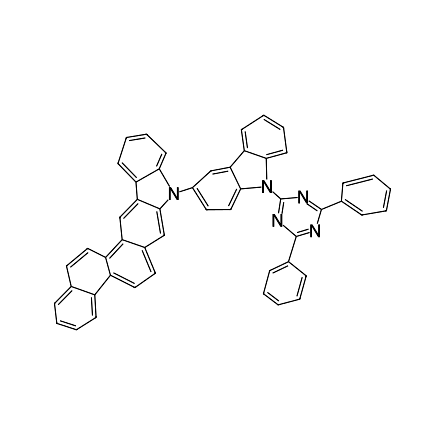 c1ccc(-c2nc(-c3ccccc3)nc(-n3c4ccccc4c4cc(-n5c6ccccc6c6cc7c(ccc8c9ccccc9ccc78)cc65)ccc43)n2)cc1